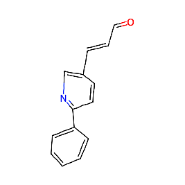 O=CC=Cc1ccc(-c2ccccc2)nc1